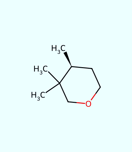 C[C@H]1CCOCC1(C)C